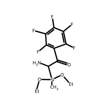 CCO[Si](C)(OCC)C(N)C(=O)c1c(F)c(F)c(F)c(F)c1F